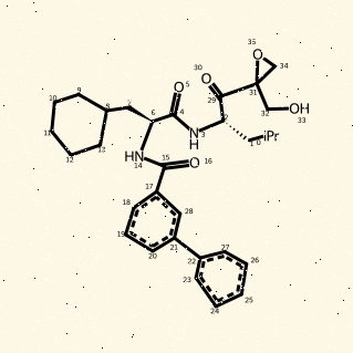 CC(C)C[C@H](NC(=O)[C@H](CC1CCCCC1)NC(=O)c1cccc(-c2ccccc2)c1)C(=O)C1(CO)CO1